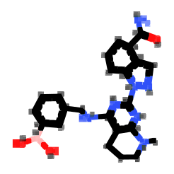 CN1CCCc2c(NCc3cccc(B(O)O)c3)nc(-n3ncc4c(C(N)=O)cccc43)nc21